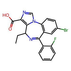 CCC1N=C(c2ccccc2F)c2cc(Br)ccc2-n2cnc(C(=O)O)c21